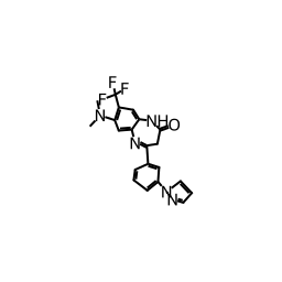 CN(C)c1cc2c(cc1C(F)(F)F)NC(=O)CC(c1cccc(-n3cccn3)c1)=N2